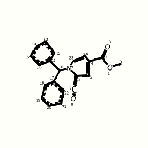 COC(=O)C1=CC(=C=O)N(C(c2ccccc2)c2ccccc2)C=C1